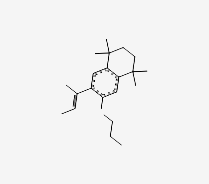 CC=C(C)c1cc2c(cc1OCCC)C(C)(C)CCC2(C)C